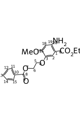 CCOC(=O)c1cc(OCCOC(=O)c2ccccc2)c(OC)cc1N